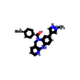 CO[C@H]1CC[C@H](C(=O)N2Cc3cccnc3Nc3ccc(-c4cnn(C)c4)cc32)CC1